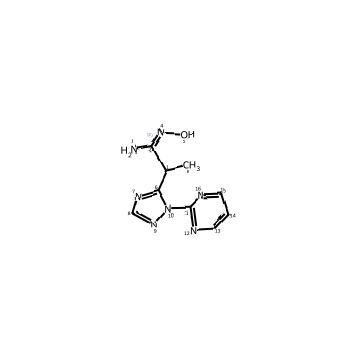 CC(/C(N)=N\O)c1ncnn1-c1ncccn1